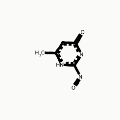 Cc1cc(=O)nc(N=O)[nH]1